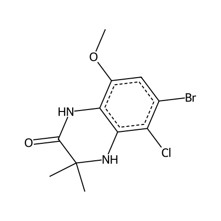 COc1cc(Br)c(Cl)c2c1NC(=O)C(C)(C)N2